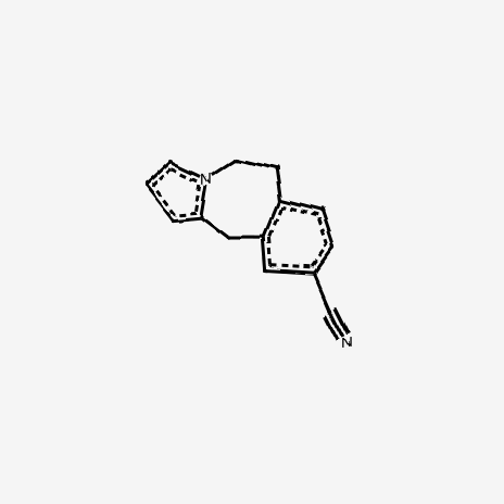 N#Cc1ccc2c(c1)Cc1cccn1CC2